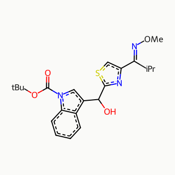 CON=C(c1csc(C(O)c2cn(C(=O)OC(C)(C)C)c3ccccc23)n1)C(C)C